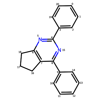 c1ccc(-c2nc3c(c(-c4ccccc4)n2)CCC3)cc1